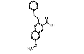 COc1ccc2cc(OCc3ccccc3)c(C(=O)O)cc2c1